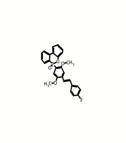 COc1cc(P2(=O)Oc3ccccc3-c3ccccc32)c(OC)cc1C=Cc1ccc(F)cc1